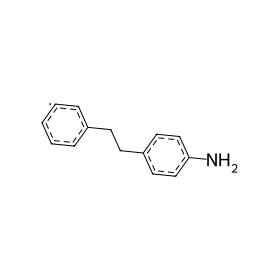 Nc1ccc(CCc2c[c]ccc2)cc1